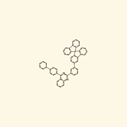 c1ccc(-c2ccc(-c3nc(-c4cccc(-c5ccc6c(c5)-c5ccccc5C65c6ccccc6-c6ccccc65)c4)nc4ccccc34)cc2)cc1